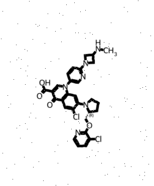 CNC1CN(c2ccc(-n3cc(C(=O)O)c(=O)c4cc(Cl)c(N5CCC[C@@H]5COc5ncccc5Cl)cc43)cn2)C1